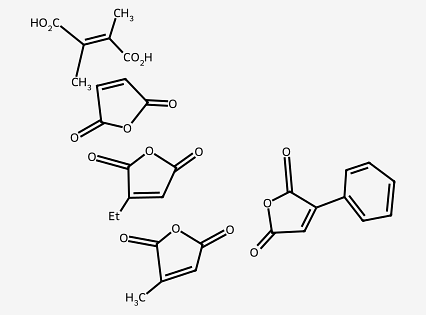 CC(C(=O)O)=C(C)C(=O)O.CC1=CC(=O)OC1=O.CCC1=CC(=O)OC1=O.O=C1C=C(c2ccccc2)C(=O)O1.O=C1C=CC(=O)O1